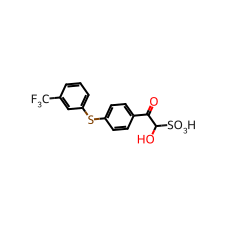 O=C(c1ccc(Sc2cccc(C(F)(F)F)c2)cc1)C(O)S(=O)(=O)O